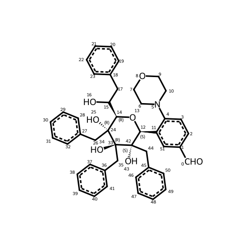 O=Cc1ccc(N2CCOCC2)c([C@@H]2O[C@H](C(O)Cc3ccccc3)[C@](O)(Cc3ccccc3)[C@@](O)(Cc3ccccc3)[C@]2(O)Cc2ccccc2)c1